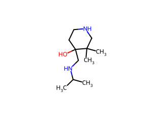 CC(C)NCC1(O)CCNCC1(C)C